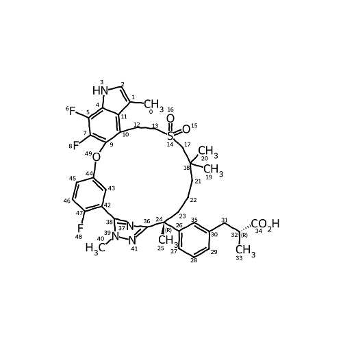 Cc1c[nH]c2c(F)c(F)c3c(c12)CCS(=O)(=O)CC(C)(C)CCC[C@](C)(c1cccc(C[C@@H](C)C(=O)O)c1)c1nc(n(C)n1)-c1cc(ccc1F)O3